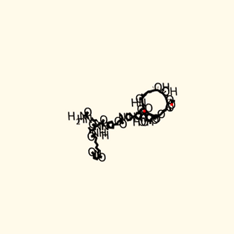 CO[C@H]1/C=C/O[C@@]2(C)Oc3c(C)c(O)c4c(=O)c(c5oc6cc(N7CCC(N(C)C(=O)OCc8ccc(NC(=O)[C@H](CCCNC(N)=O)NC(=O)[C@@H](NC(=O)CCCCCN9C(=O)C=CC9=O)C(C)C)cc8)CC7)cc(O)c6nc-5c4c3C2=O)NC(=O)/C(C)=C\C=C\[C@H](C)[C@H](O)[C@@H](C)[C@@H](O)[C@@H](C)[C@H](OC(C)=O)[C@@H]1C